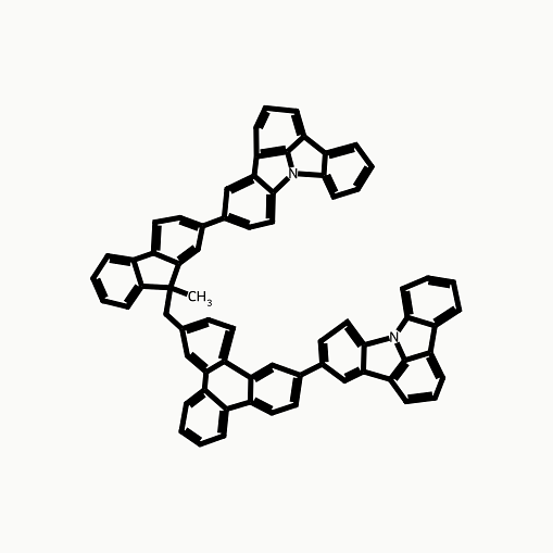 CC1(Cc2ccc3c(c2)c2ccccc2c2ccc(-c4ccc5c(c4)c4cccc6c7ccccc7n5c64)cc23)c2ccccc2-c2ccc(-c3ccc4c(c3)c3cccc5c6ccccc6n4c53)cc21